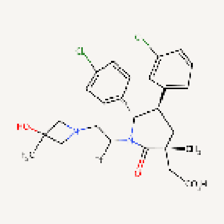 CCC(CN1CC(O)(C(F)(F)F)C1)N1C(=O)[C@@](C)(CC(=O)O)C[C@H](c2cccc(Cl)c2)[C@H]1c1ccc(Cl)cc1